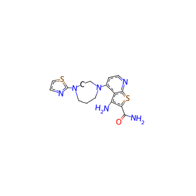 NC(=O)c1sc2nccc(N3CCCN(c4nccs4)CC3)c2c1N